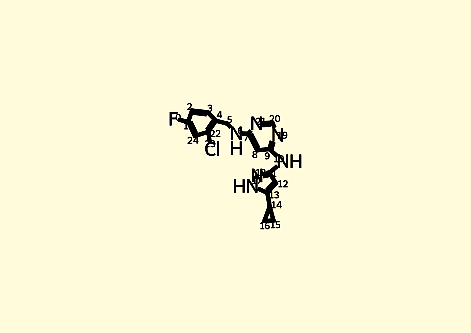 Fc1ccc(CNc2cc(Nc3cc(C4CC4)[nH]n3)ncn2)c(Cl)c1